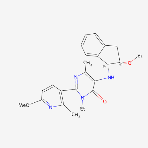 CCO[C@H]1Cc2ccccc2[C@H]1Nc1c(C)nc(-c2ccc(OC)nc2C)n(CC)c1=O